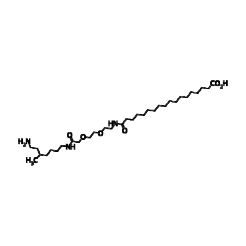 CC(CCN)CCCCNC(=O)COCCOCCNC(=O)CCCCCCCCCCCCCCCCC(=O)O